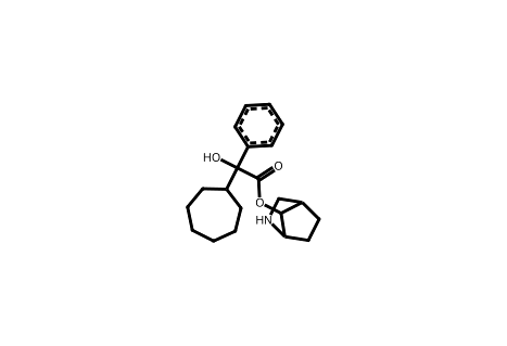 O=C(OC1C2CCC1NC2)C(O)(c1ccccc1)C1CCCCCC1